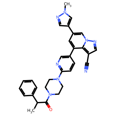 CC(C(=O)N1CCN(c2ccc(-c3cc(-c4cnn(C)c4)cn4ncc(C#N)c34)cn2)CC1)c1ccccc1